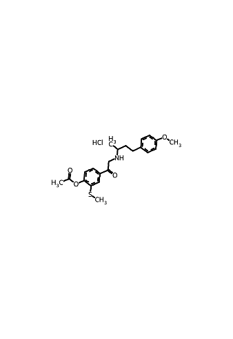 COc1ccc(CCC(C)NCC(=O)c2ccc(OC(C)=O)c(SC)c2)cc1.Cl